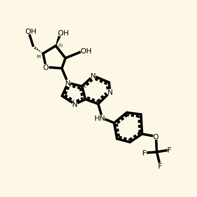 OC[C@H]1OC(n2cnc3c(Nc4ccc(OC(F)(F)F)cc4)ncnc32)C(O)[C@@H]1O